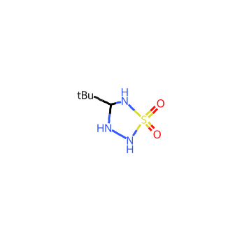 CC(C)(C)C1NNS(=O)(=O)N1